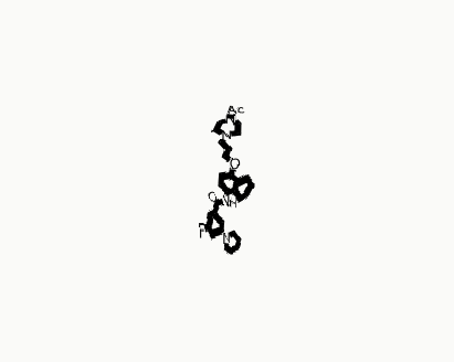 CC(=O)N1CCN(CCCOc2ccc(NC(=O)c3cc(F)cc(N4CCCCC4)c3)c3ccccc23)CC1